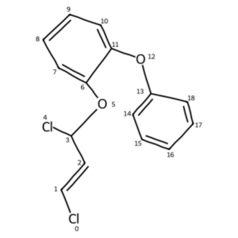 ClC=CC(Cl)Oc1ccccc1Oc1ccccc1